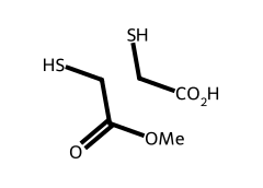 COC(=O)CS.O=C(O)CS